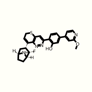 COc1cc(-c2ccc(-c3cc4c(nn3)C([C@H]3C[C@@H]5CC[C@@H](N5)[C@H]3F)=CCS4)c(O)c2)ccn1